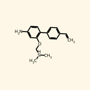 C=Cc1ccc(-c2ccc(N)cc2OC[SiH](C)C)cc1